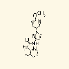 COc1ncc(-n2ccc(NC(=O)C3(c4ncccc4F)CC3)n2)cn1